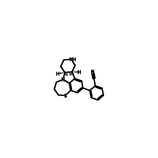 N#Cc1ccccc1-c1cc2c3c(c1)[C@@H]1CNCC[C@@H]1N3CCCS2